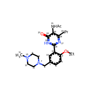 CCOc1ccc(CN2CCN(C)CC2)cc1-c1nc(C(C)C)c(NC(C)=O)c(=O)[nH]1